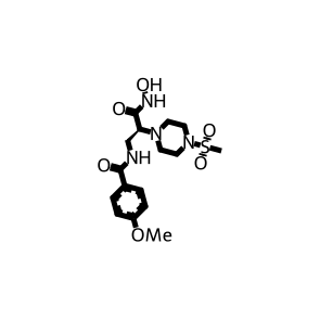 COc1ccc(C(=O)NC[C@@H](C(=O)NO)N2CCN(S(C)(=O)=O)CC2)cc1